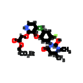 CCOC(=O)COC(=O)COc1ncccc1Oc1cc(-n2c(=O)cc(C(F)(F)F)n(C)c2=O)c(F)cc1Cl